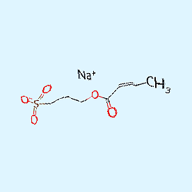 CC=CC(=O)OCCCS(=O)(=O)[O-].[Na+]